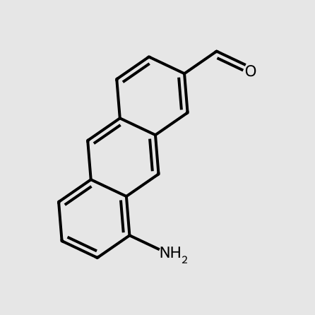 Nc1cccc2cc3ccc(C=O)cc3cc12